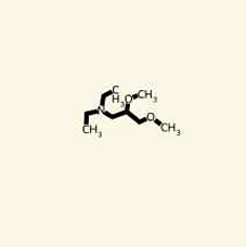 CCN(CC)CC(COC)OC